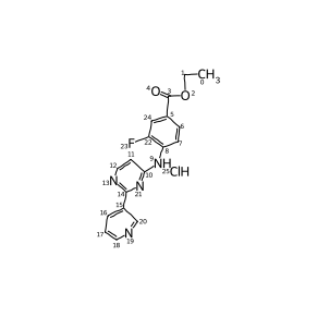 CCOC(=O)c1ccc(Nc2ccnc(-c3cccnc3)n2)c(F)c1.Cl